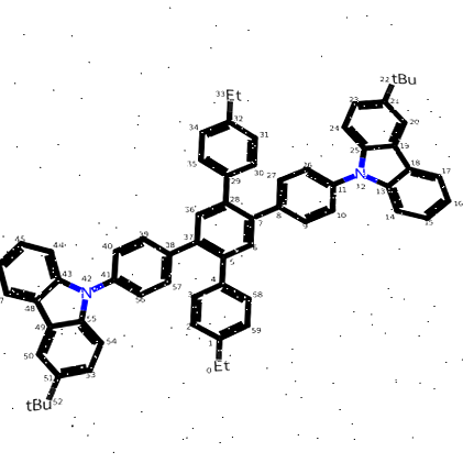 CCc1ccc(-c2cc(-c3ccc(-n4c5ccccc5c5cc(C(C)(C)C)ccc54)cc3)c(-c3ccc(CC)cc3)cc2-c2ccc(-n3c4ccccc4c4cc(C(C)(C)C)ccc43)cc2)cc1